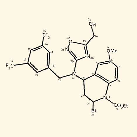 CCOC(=O)N1c2ccc(OC)cc2C(N(Cc2cc(C(F)(F)F)cc(C(F)(F)F)c2)c2noc(CO)n2)CC1CC